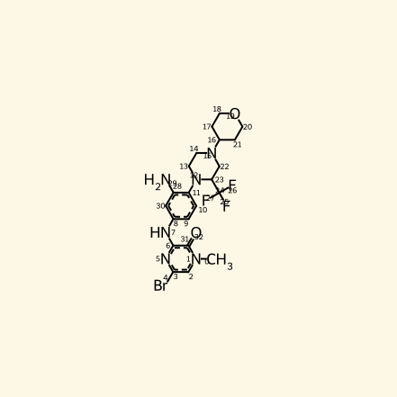 Cn1cc(Br)nc(Nc2ccc(N3CCN(C4CCOCC4)CC3C(F)(F)F)c(N)c2)c1=O